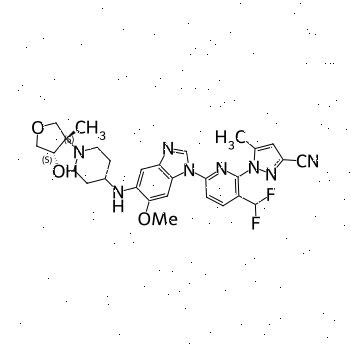 COc1cc2c(cc1NC1CCN([C@@]3(C)COC[C@H]3O)CC1)ncn2-c1ccc(C(F)F)c(-n2nc(C#N)cc2C)n1